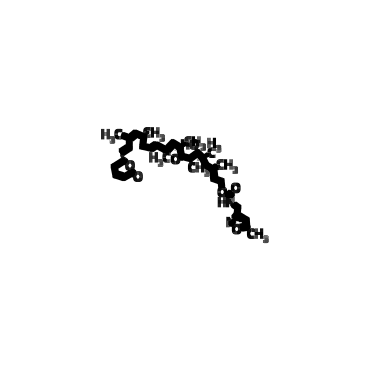 CC(=C/[C@H](C)C/C=C/C(C)=C/[C@@H](C)C(=O)[C@@H](C)[C@H](O)[C@@H](C)C/C(C)=C/COC(=O)NCc1cc(C)on1)/C=C/[C@H]1CC=CC(=O)O1